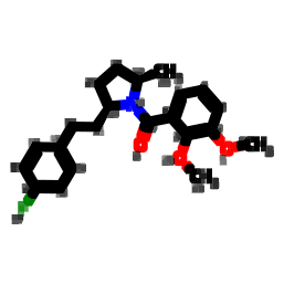 COc1cccc(C(=O)N2[C@@H](CCc3ccc(F)cc3)CC[C@H]2C)c1OC